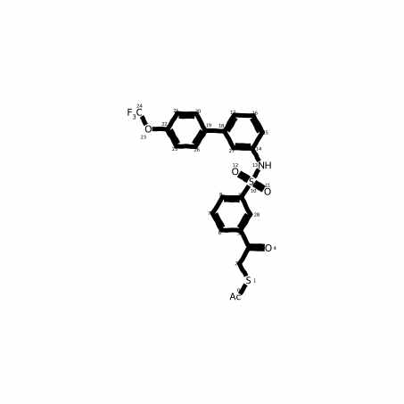 CC(=O)SCC(=O)c1cccc(S(=O)(=O)Nc2cccc(-c3ccc(OC(F)(F)F)cc3)c2)c1